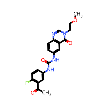 COCCn1cnc2ccc(NC(=O)Nc3ccc(F)c(C(C)=O)c3)cc2c1=O